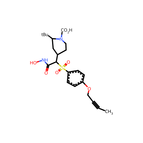 CC#CCOc1ccc(S(=O)(=O)C(C(=O)NO)C2CCN(C(=O)O)C(C(C)(C)C)C2)cc1